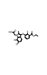 CCOC(=O)c1cccc(Sc2c(C)n(CC(=O)O)c3c(F)c(Cl)ccc23)c1F